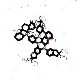 Cc1cc2c3c(c1)N(c1ccc(C(C)(C)C)cc1-c1ccccc1)c1cc(N4c5ccccc5C5(C)CCc6ccccc6C45C)ccc1B3c1cc3c(cc1N2c1ccc2c(c1)CC(C)(C)C2)CC(C)(C)C3